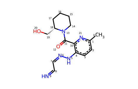 Cc1ccc(N/N=C\C=N)c(C(=O)N2CCCC[C@H]2CO)n1